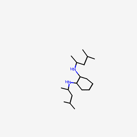 CC(C)CC(C)NC1CCCCC1NC(C)CC(C)C